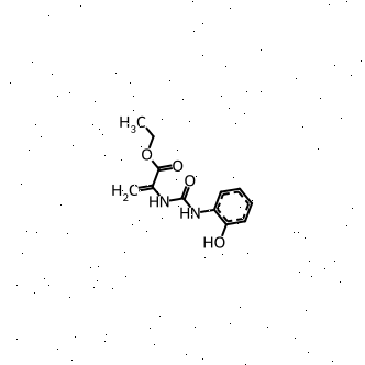 C=C(NC(=O)Nc1ccccc1O)C(=O)OCC